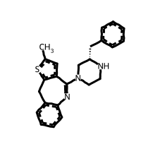 Cc1cc2c(s1)Cc1ccccc1N=C2N1CCN[C@@H](Cc2ccccc2)C1